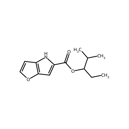 CCC(OC(=O)c1cc2occc2[nH]1)C(C)C